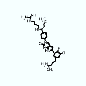 COCC[C@H](NCCCNC(=N)N)c1ccc(-n2cc3cc(-c4cc(CCC[C@H](C)N)cc(Cl)c4F)[nH]c3nc2=O)cc1